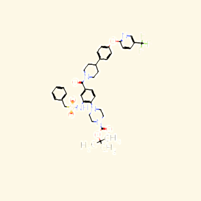 CC(C)(C)OC(=O)N1CCN(c2ccc(C(=O)N3CCC(c4ccc(Oc5ccc(C(F)(F)F)cn5)cc4)CC3)cc2NS(=O)(=O)Cc2ccccc2)CC1